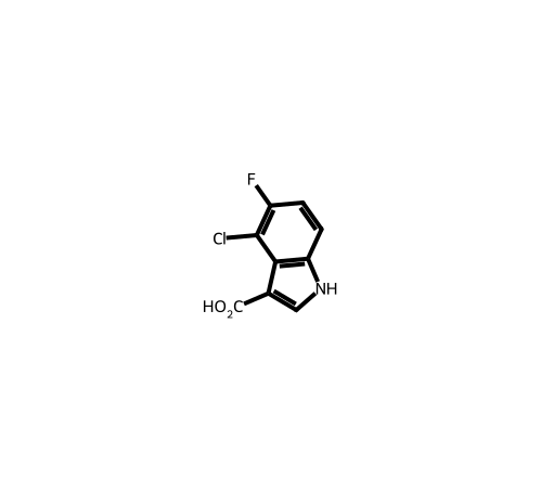 O=C(O)c1c[nH]c2ccc(F)c(Cl)c12